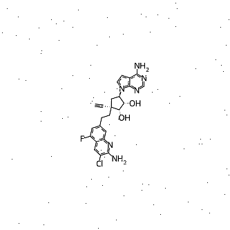 C#C[C@]1(CCc2cc(F)c3cc(Cl)c(N)nc3c2)C[C@@H](n2ccc3c(N)ncnc32)[C@H](O)[C@@H]1O